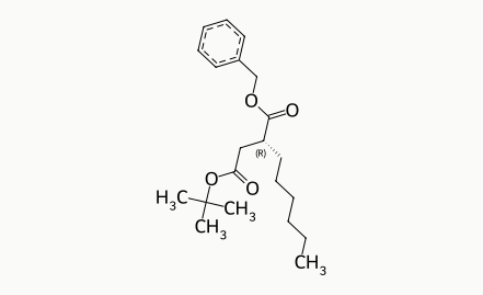 CCCCCC[C@H](CC(=O)OC(C)(C)C)C(=O)OCc1ccccc1